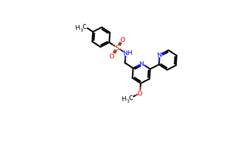 COc1cc(CNS(=O)(=O)c2ccc(C)cc2)nc(-c2ccccn2)c1